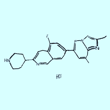 Cc1cn2nc(-c3cc(F)c4cc(C5CCNCC5)ncc4c3)cc(C)c2n1.Cl